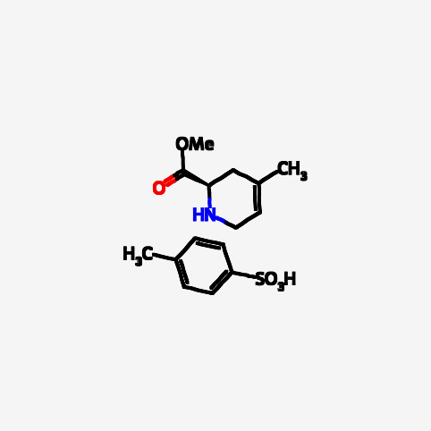 COC(=O)[C@H]1CC(C)=CCN1.Cc1ccc(S(=O)(=O)O)cc1